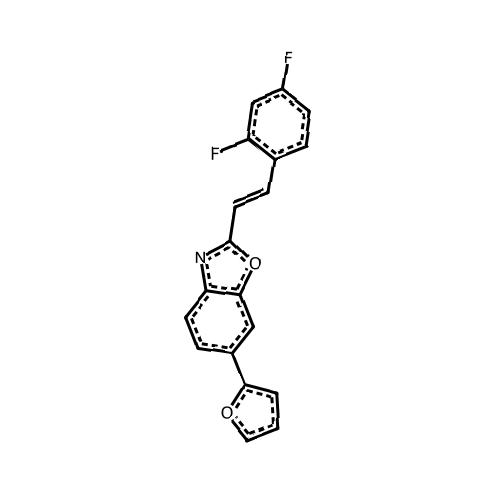 Fc1ccc(C=Cc2nc3ccc(-c4ccco4)cc3o2)c(F)c1